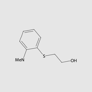 CNc1ccccc1SCCO